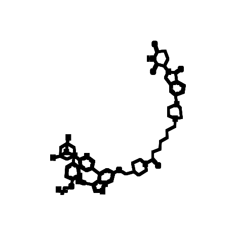 COc1ccc(CN2[C@@H]3C[C@H]2CN(c2ccc(-c4cc(OCC5CCN(C(=O)CCCCCCN6CCN(c7ccc8c(c7)CN(C7CCC(=O)NC7=O)C8=O)CC6)CC5)cn5ncc(C#N)c45)cn2)C3)cn1